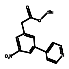 CC(C)(C)OC(=O)Cc1cc(-c2ccncc2)cc([N+](=O)[O-])c1